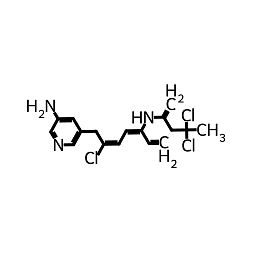 C=C/C(=C\C=C(\Cl)Cc1cncc(N)c1)NC(=C)CC(C)(Cl)Cl